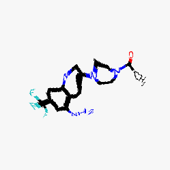 CC(=O)N1CCN(c2cnc3cc(C(F)(F)F)cc(N)c3c2)CC1